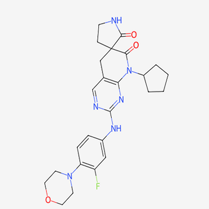 O=C1NCCC12Cc1cnc(Nc3ccc(N4CCOCC4)c(F)c3)nc1N(C1CCCC1)C2=O